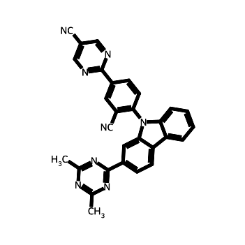 Cc1nc(C)nc(-c2ccc3c4ccccc4n(-c4ccc(-c5ncc(C#N)cn5)cc4C#N)c3c2)n1